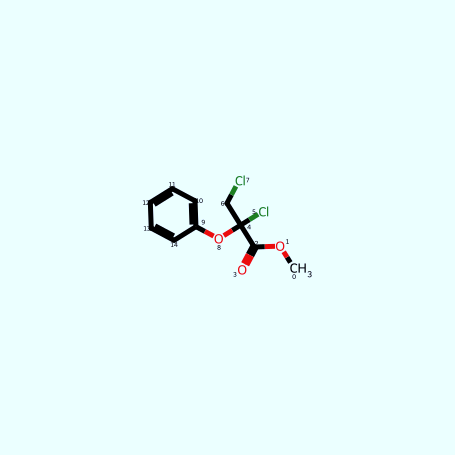 COC(=O)C(Cl)(CCl)Oc1ccccc1